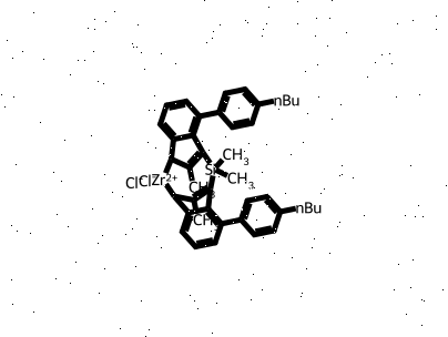 CCCCc1ccc(-c2cccc3c2C2=C(C)[CH]3[Zr+2][CH]3C(C)=C(c4c(-c5ccc(CCCC)cc5)cccc43)[Si]2(C)C)cc1.[Cl-].[Cl-]